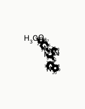 C[C@H]1CC2(CCN(c3ncc(Sc4ccnc5c4CCC5)c4nccn34)CC2)CO1